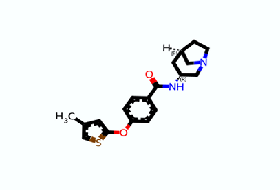 Cc1csc(Oc2ccc(C(=O)N[C@@H]3C[C@H]4CCN(C4)C3)cc2)c1